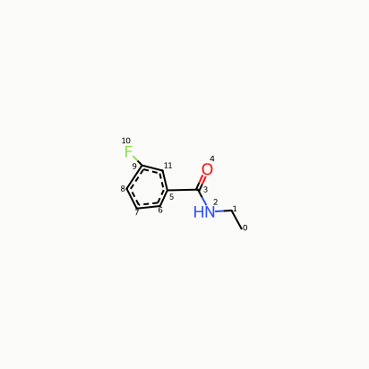 CCNC(=O)c1cccc(F)c1